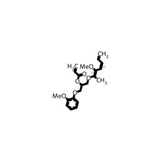 C=C/C=C\C(OC)=C(/C)OCC(COc1ccccc1OC)OC(=O)C=C